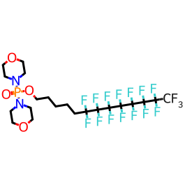 O=P(OCCCCCC(F)(F)C(F)(F)C(F)(F)C(F)(F)C(F)(F)C(F)(F)C(F)(F)C(F)(F)F)(N1CCOCC1)N1CCOCC1